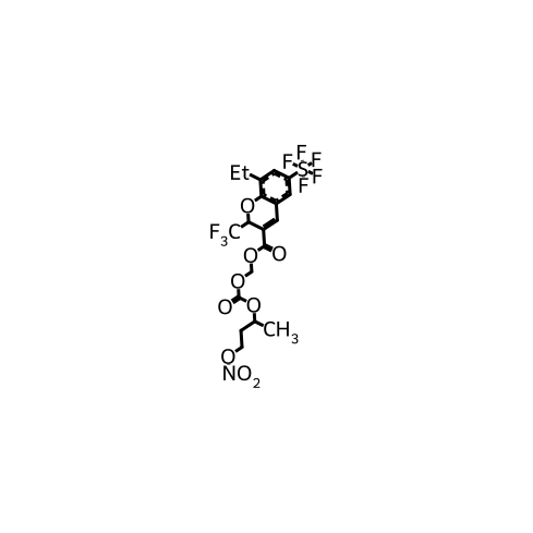 CCc1cc(S(F)(F)(F)(F)F)cc2c1OC(C(F)(F)F)C(C(=O)OCOC(=O)OC(C)CCO[N+](=O)[O-])=C2